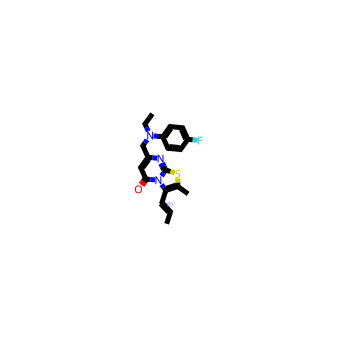 C/C=C/c1c(C)sc2nc(CN(CC)c3ccc(F)cc3)cc(=O)n12